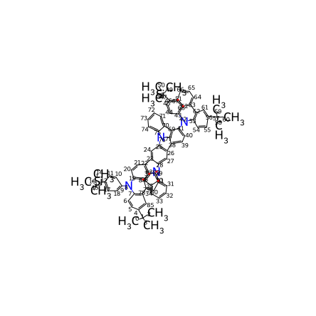 CC(C)(C)c1ccc(N(c2ccc([Si](C)(C)C)cc2)c2ccc3c4cc5c(cc4n4c6ccccc6c2c34)c2ccc(N(c3ccc([Si](C)(C)C)cc3)c3ccc(C(C)(C)C)cc3-c3ccccc3)c3c4ccccc4n5c23)c(-c2ccccc2)c1